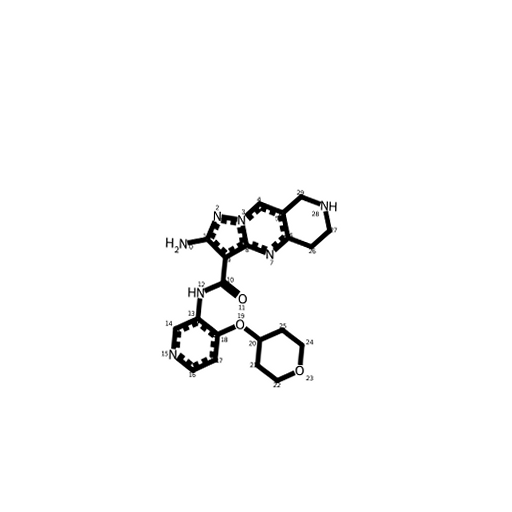 Nc1nn2cc3c(nc2c1C(=O)Nc1cnccc1OC1CCOCC1)CCNC3